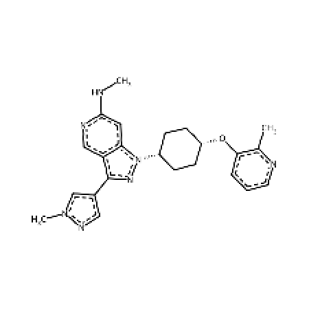 CNc1cc2c(cn1)c(-c1cnn(C)c1)nn2[C@H]1CC[C@@H](Oc2cccnc2C)CC1